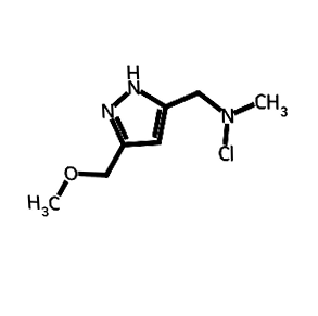 COCc1cc(CN(C)Cl)[nH]n1